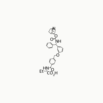 CCC(NC(=O)c1ccc(COc2cccc(C(NC(=O)OC3CN4CCC3CC4)c3ccccc3)c2)cc1)C(=O)O